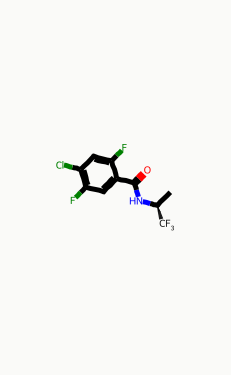 C[C@H](NC(=O)c1cc(F)c(Cl)cc1F)C(F)(F)F